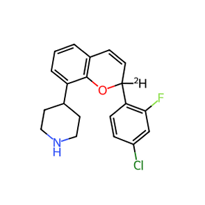 [2H]C1(c2ccc(Cl)cc2F)C=Cc2cccc(C3CCNCC3)c2O1